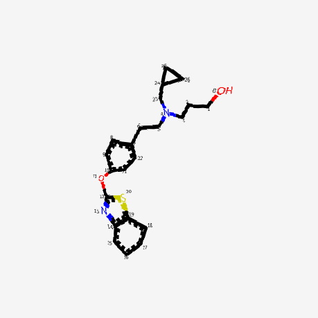 OCCCN(CCc1ccc(Oc2nc3ccccc3s2)cc1)CC1CC1